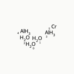 O.O.O.[AlH3].[AlH3].[Cr]